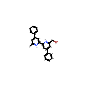 Cc1cc(-c2ccccc2)cc(-c2cc(-c3ccccc3)cc(CBr)n2)n1